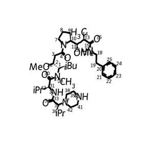 CC[C@H](C)[C@@H](C(CC(=O)N1CCC[C@H]1[C@H](OC)[C@@H](C)C(=O)NCCc1ccccc1)OC)N(C)C(=O)[C@@H](NC(=O)[C@H](C(C)C)N1CCNCC1)C(C)C